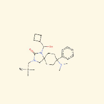 CN(C)C1(c2ccccc2)CCC2(CC1)CN(CC(C)(C)C#N)C(=O)N2C(O)C1CCC1